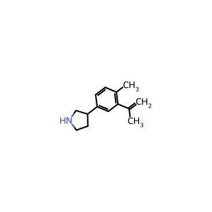 C=C(C)c1cc(C2CCNC2)ccc1C